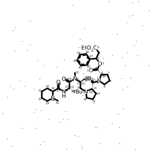 CCOC(=O)CC(OC(=O)[C@@H]1CCCN1C(=O)[C@@H]1CCCN1C[C@H](C(C)C)N(C)C(=O)[C@@H](NC(=O)C1CCCCN1C)C(C)(C)C)c1ccccc1